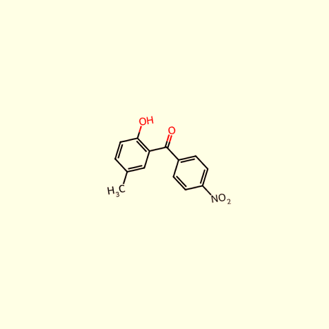 Cc1ccc(O)c(C(=O)c2ccc([N+](=O)[O-])cc2)c1